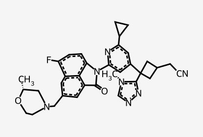 C[C@@H]1CN(Cc2cc3c4c(ccc(F)c4c2)N(c2cc(C4(c5nncn5C)CC(CC#N)C4)cc(C4CC4)n2)C3=O)CCO1